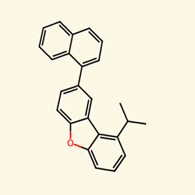 CC(C)c1cccc2oc3ccc(-c4cccc5ccccc45)cc3c12